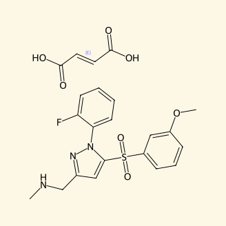 CNCc1cc(S(=O)(=O)c2cccc(OC)c2)n(-c2ccccc2F)n1.O=C(O)/C=C/C(=O)O